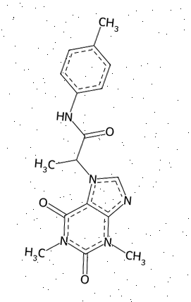 Cc1ccc(NC(=O)C(C)n2cnc3c2c(=O)n(C)c(=O)n3C)cc1